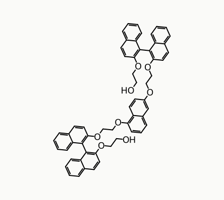 OCCOc1ccc2ccccc2c1-c1c(OCCOc2ccc3c(OCCOc4ccc5ccccc5c4-c4c(OCCO)ccc5ccccc45)cccc3c2)ccc2ccccc12